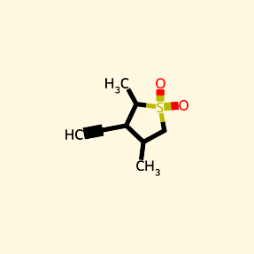 C#CC1C(C)CS(=O)(=O)C1C